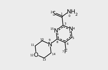 NC(=S)c1ncc(F)c(N2CCOCC2)n1